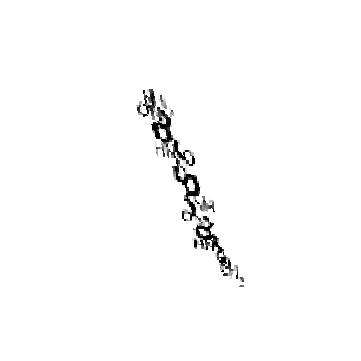 COOCc1cc2c3c(ccc2[nH]1)N(C(=O)c1cc2c4c(ccc2[nH]1)N(C(=O)c1cc2c5c(ccc2[nH]1)N(C(N)=O)CC5)CC4)CC3